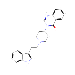 O=c1c2ccccc2ncn1C1CCN(CCc2c[nH]c3ccccc23)CC1